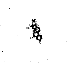 CC1(C)O[C@@H]2C[C@H]3[C@@H]4C[C@H](Cl)C5=CC(=O)C=C[C@]5(C)C4=CC[C@]3(C)[C@]2(C(=O)CO)O1